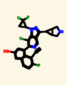 C#Cc1c(F)ccc2cc(O)cc(-c3ncc4c(C5C6CNCC65)nn(C5CC5(F)F)c4c3F)c12